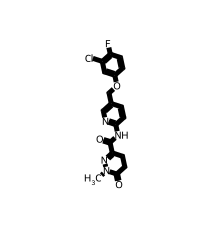 CN1N=C(C(=O)Nc2ccc(COc3ccc(F)c(Cl)c3)cn2)CCC1=O